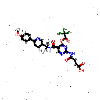 COc1ccc(-c2ccc(C(C)(C)NC(=O)c3cnc(NC(=O)CCC(=O)O)nc3OC(=O)C(F)(F)F)cn2)cc1